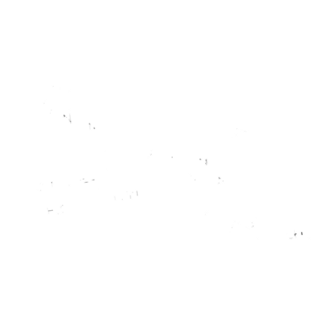 CCCCCCCCc1cc(-c2cc(-c3ccc(-c4cc(-c5cccc(-c6ccc(C)cc6)c5)nc(-c5ccccc5)n4)cc3)cc(-c3ccc4ccc5cccnc5c4n3)c2)c(CCCCCCCC)cc1C